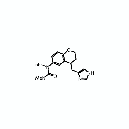 CCCN(C(=O)NC)c1ccc2c(c1)C(Cc1c[nH]cn1)CCO2